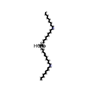 CCCCCCCC/C=C\CCCCCCCCSP(=O)(O)SCCCCCCCC/C=C\CCCCCCCC